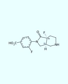 O=C(O)c1ccc(N2C[C@@H]3CNCC[C@]3(F)C2=O)c(F)c1